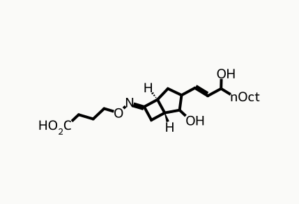 CCCCCCCCC(O)C=CC1C[C@@H]2C(=NOCCCC(=O)O)C[C@H]2C1O